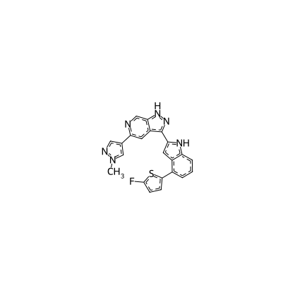 Cn1cc(-c2cc3c(-c4cc5c(-c6ccc(F)s6)cccc5[nH]4)n[nH]c3cn2)cn1